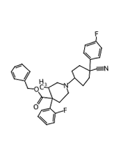 CC1CN(C2CCC(C#N)(c3ccc(F)cc3)CC2)CCC1(C(=O)OCc1ccccc1)c1ccccc1F